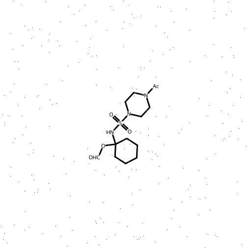 CC(=O)N1CCN(S(=O)(=O)NC2(OC=O)CCCCC2)CC1